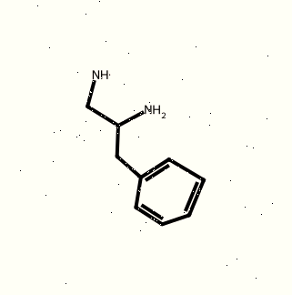 [NH]CC(N)Cc1ccccc1